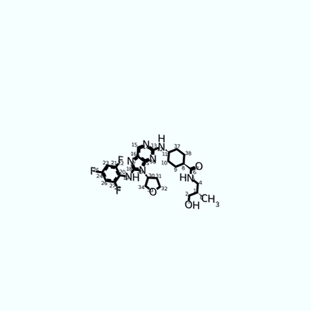 C[C@H](CO)CNC(=O)[C@H]1CC[C@H](Nc2ncc3nc(Nc4c(F)cc(F)cc4F)n([C@H]4CCOC4)c3n2)CC1